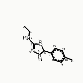 CCNC1=NNC(c2ccc(C)cc2)O1